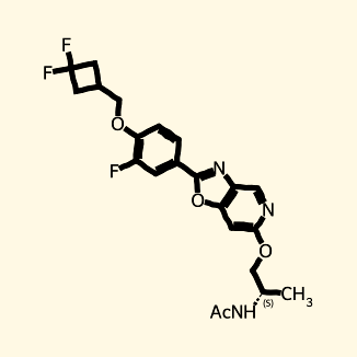 CC(=O)N[C@@H](C)COc1cc2oc(-c3ccc(OCC4CC(F)(F)C4)c(F)c3)nc2cn1